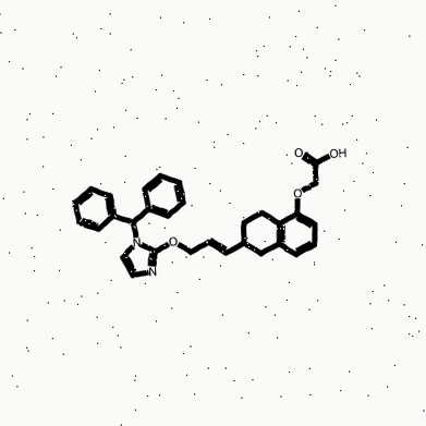 O=C(O)COc1cccc2c1CCC(C=CCOc1nccn1C(c1ccccc1)c1ccccc1)C2